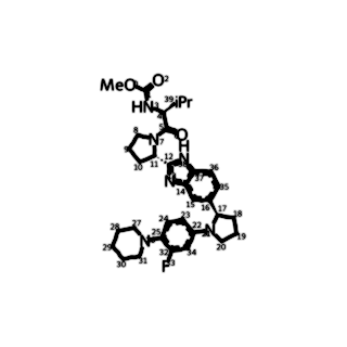 COC(=O)N[C@H](C(=O)N1CCC[C@H]1c1nc2cc([C@H]3CCCN3c3ccc(N4CCCCC4)c(F)c3)ccc2[nH]1)C(C)C